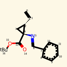 C=C[C@H]1C[C@@]1(N=Cc1ccccc1)C(=O)OC(C)(C)C